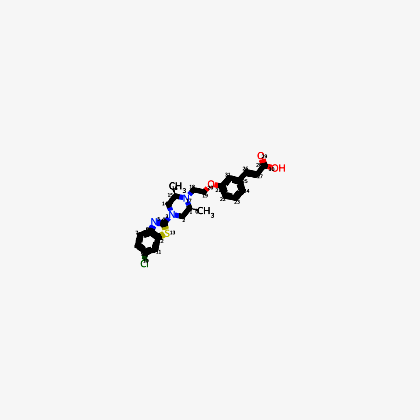 C[C@@H]1CN(c2nc3ccc(Cl)cc3s2)C[C@H](C)N1CCOc1cccc(/C=C/C(=O)O)c1